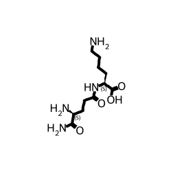 NCCCC[C@H](NC(=O)CC[C@H](N)C(N)=O)C(=O)O